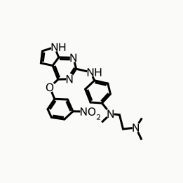 CN(C)CCN(C)c1ccc(Nc2nc(Oc3cccc([N+](=O)[O-])c3)c3cc[nH]c3n2)cc1